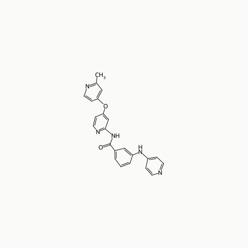 Cc1cc(Oc2ccnc(NC(=O)c3cccc(Nc4ccncc4)c3)c2)ccn1